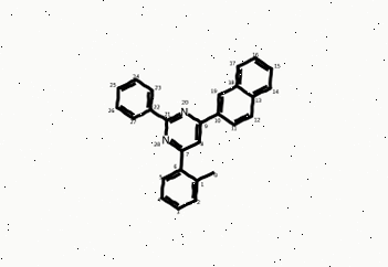 Cc1ccccc1-c1cc(-c2ccc3ccccc3c2)nc(-c2ccccc2)n1